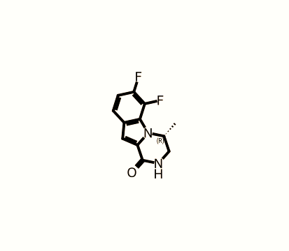 C[C@@H]1CNC(=O)c2cc3ccc(F)c(F)c3n21